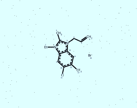 C=CCn1c(C)[n+](CC)c2cc(Cl)c(C(F)(F)F)cc21.[Br-]